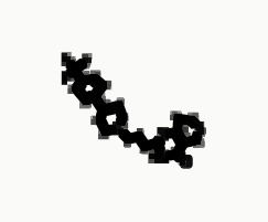 O=c1[nH]c(CCCN2CC=C(c3ccc(C(F)(F)F)cc3)CC2)nc2c1CSCC2